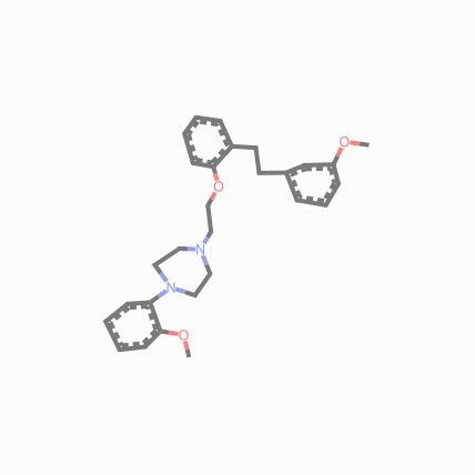 COc1cccc(CCc2ccccc2OCCN2CCN(c3ccccc3OC)CC2)c1